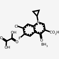 B.O=C(O)C(=O)O.O=C(O)c1cn(C2CC2)c2cc(Cl)c(F)cc2c1=O